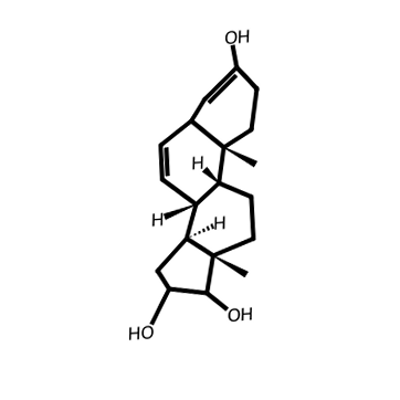 C[C@]12CCC(O)=CC1C=C[C@@H]1[C@H]2CC[C@]2(C)C(O)C(O)C[C@@H]12